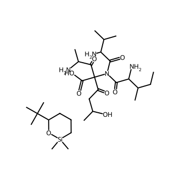 CC(C)(C)C1CCC[Si](C)(C)O1.CCC(C)C(N)C(=O)N(C(=O)C(N)C(C)C)C(C(=O)O)(C(=O)CC(C)O)C(=O)C(C)N